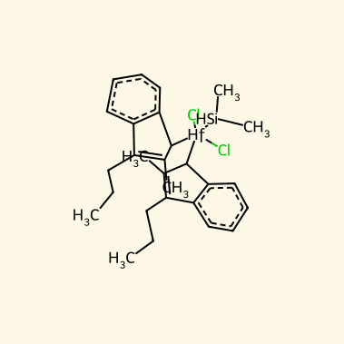 CCCC1=C(C)[CH]([Hf]([Cl])([Cl])([CH]2C(C)=C(CCC)c3ccccc32)[SiH](C)C)c2ccccc21